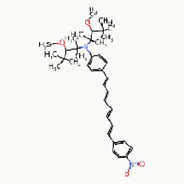 CC(C)(C)C(O[SiH3])C(C)(C)N(c1ccc(C=CC=CC=CC=Cc2ccc([N+](=O)[O-])cc2)cc1)C(C)(C)C(O[SiH3])C(C)(C)C